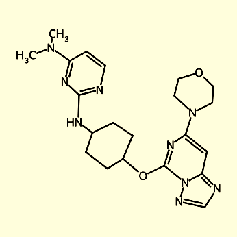 CN(C)c1ccnc(NC2CCC(Oc3nc(N4CCOCC4)cc4ncnn34)CC2)n1